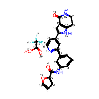 O=C(Nc1cccc(-c2cc(-c3cc4c([nH]3)CCNC4=O)ccn2)c1)c1ccco1.O=C(O)C(F)(F)F